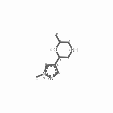 CC1CNCC(c2cnn(C)c2)O1